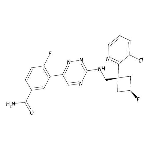 NC(=O)c1ccc(F)c(-c2cnc(NC[C@]3(c4ncccc4Cl)C[C@H](F)C3)nn2)c1